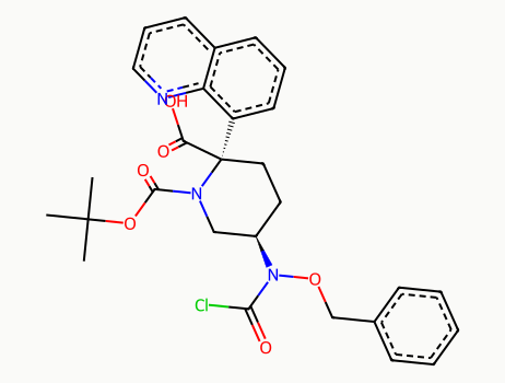 CC(C)(C)OC(=O)N1C[C@H](N(OCc2ccccc2)C(=O)Cl)CC[C@@]1(C(=O)O)c1cccc2cccnc12